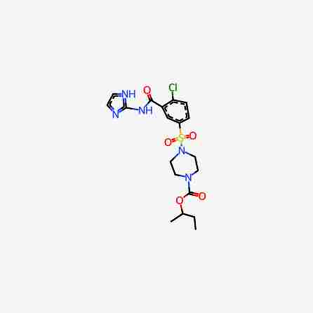 CCC(C)OC(=O)N1CCN(S(=O)(=O)c2ccc(Cl)c(C(=O)Nc3ncc[nH]3)c2)CC1